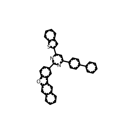 c1ccc(-c2ccc(-c3cc(-c4cc5ccccc5s4)nc(-c4ccc5oc6cc7ccccc7cc6c5c4)n3)cc2)cc1